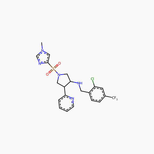 Cn1cnc(S(=O)(=O)N2CC(NCc3ccc(C(F)(F)F)cc3Cl)C(c3ccccn3)C2)c1